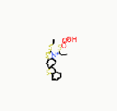 CCSc1sc2cc3sc4ccccc4c3cc2[n+]1C(CC)SOOO